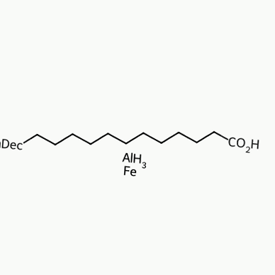 CCCCCCCCCCCCCCCCCCCCCC(=O)O.[AlH3].[Fe]